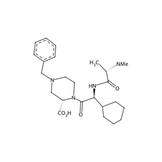 CN[C@@H](C)C(=O)N[C@H](C(=O)N1CCN(Cc2ccccc2)C[C@H]1C(=O)O)C1CCCCC1